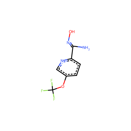 NC(=NO)c1ccc(OC(F)(F)F)cn1